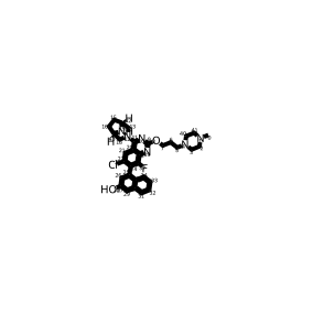 CN1CCN(CCCOc2nc(N3C[C@H]4CC[C@@H](C3)N4)c3cc(Cl)c(-c4cc(O)cc5ccccc45)c(F)c3n2)CC1